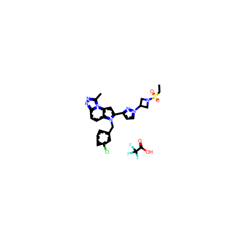 CCS(=O)(=O)N1CC(n2ccc(-c3cc4c(ccc5nnc(C)n54)n3Cc3cccc(Cl)c3)n2)C1.O=C(O)C(F)(F)F